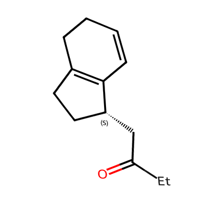 CCC(=O)C[C@@H]1CCC2=C1C=CCC2